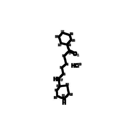 Cl.O=C(CCCCNC1CCNCC1)C1CCCCC1